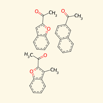 CC(=O)c1cc2ccccc2o1.CC(=O)c1ccc2ccccc2c1.CC(=O)c1oc2ccccc2c1C